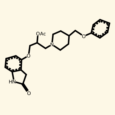 CC(=O)OC(COc1cccc2c1CC(=O)N2)CN1CCC(COc2ccccc2)CC1